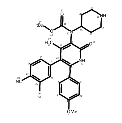 COc1ccc(-c2[nH]c(=O)c(N(C(=O)OC(C)(C)C)C3CCNCC3)c(C)c2-c2ccc(C#N)c(F)c2)cc1